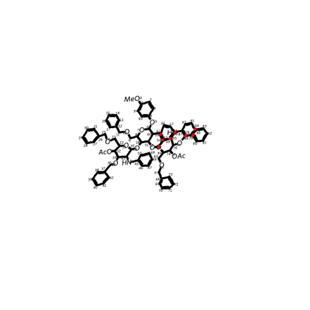 COc1ccc(OC2OC(COCc3ccccc3)C(OC3OC(COCc4ccccc4)C(OC(C)=O)C(OCc4ccccc4)C3Nc3ccccc3)C(OCc3ccccc3)C2CC2OC(COCc3ccccc3)C(OC(C)=O)C(OCc3ccccc3)C2Nc2ccccc2)cc1